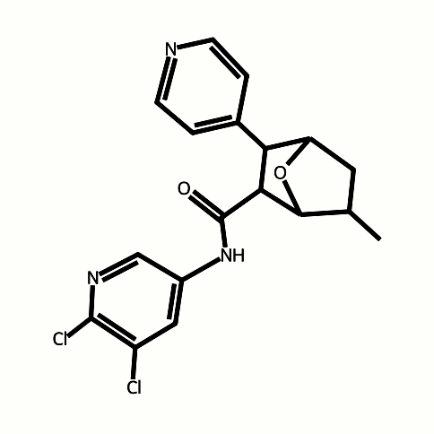 CC1CC2OC1C(C(=O)Nc1cnc(Cl)c(Cl)c1)C2c1ccncc1